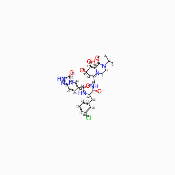 CC(C)N1CCn2c(CNC(=O)C(Cc3cccc(Cl)c3)NC(=O)c3ccc4n[nH]c(=O)n4c3)cc(=O)c(O)c2C1=O